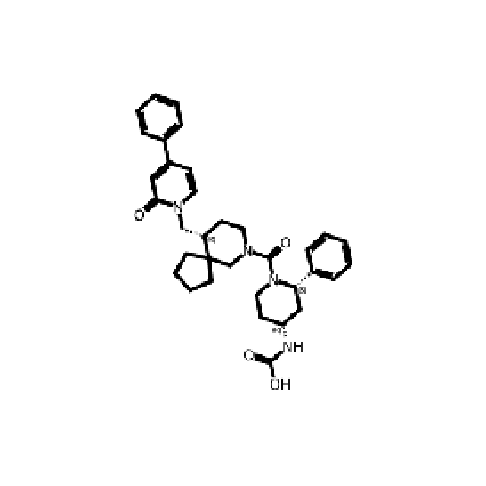 O=C(O)N[C@@H]1CCN(C(=O)N2CC[C@@H](Cn3ccc(-c4ccccc4)cc3=O)C3(CCCC3)C2)[C@H](c2ccccc2)C1